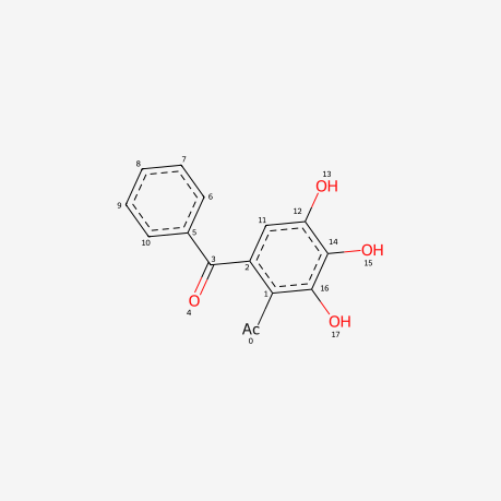 CC(=O)c1c(C(=O)c2ccccc2)cc(O)c(O)c1O